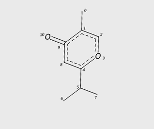 Cc1coc(C(C)C)cc1=O